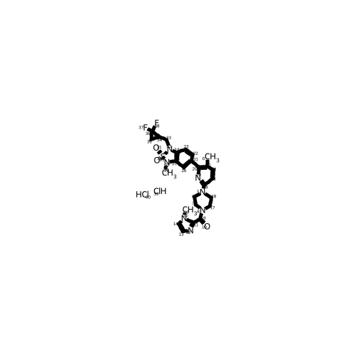 Cc1ccc(N2CCN(C(=O)c3nccn3C)CC2)nc1-c1ccc2c(c1)N(C)S(=O)(=O)N2CC1CC1(F)F.Cl.Cl